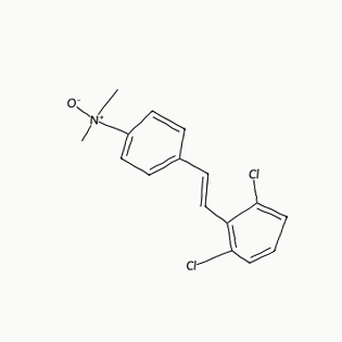 C[N+](C)([O-])c1ccc(/C=C/c2c(Cl)cccc2Cl)cc1